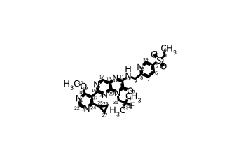 CCS(=O)(=O)c1ccc(CNc2nc3cnc(-c4c(OC)ncnc4C4CC4)nc3n(CC(C)(C)F)c2=O)nc1